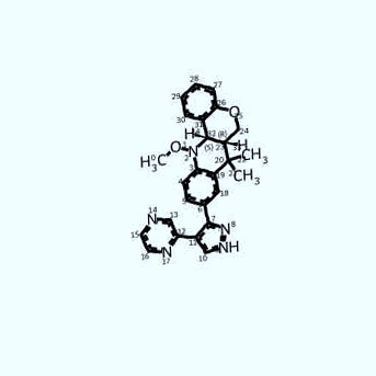 CON1c2ccc(-c3n[nH]cc3-c3cnccn3)cc2C(C)(C)[C@H]2COc3ccccc3[C@H]21